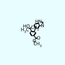 COC(=O)c1ccc(C(C)(C)O)c(-c2ccc3[nH]cnc3c2)c1